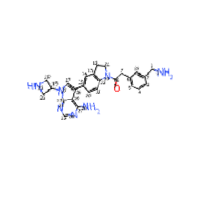 NCc1cccc(CC(=O)N2CCc3cc(-c4cn(C5CNC5)c5ncnc(N)c45)ccc32)c1